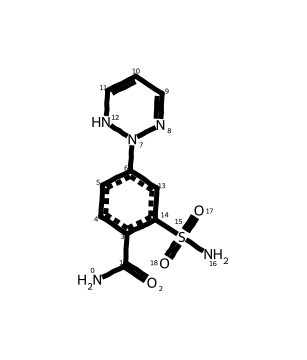 NC(=O)c1ccc(N2N=CC=CN2)cc1S(N)(=O)=O